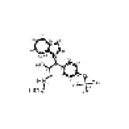 CNC[C@@H](O)[C@H](c1ccc(OC(F)(F)F)cc1)n1ccc2ccccc21.Cl